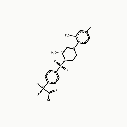 C[C@@H]1CN(c2ccc(F)cc2C(F)(F)F)CCN1S(=O)(=O)c1ccc([C@@](O)(C(N)=O)C(F)(F)F)cc1